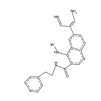 CC(C)Nc1c(C(=O)NCCc2ccncc2)cnc2ccc(/C(C=N)=C/N)cc12